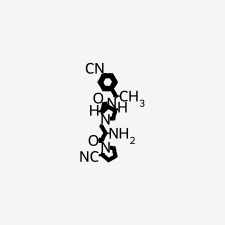 [C-]#[N+]c1ccc([C@H](C)N2C(=O)[C@@H]3C[C@H]2CN3C[C@H](N)C(=O)N2CCC[C@H]2C#N)cc1